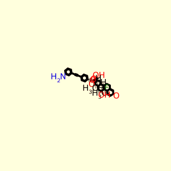 C[C@]12C=CC(=O)C=C1CC[C@H]1[C@@H]3C[C@H]4O[C@@H](c5ccc(C#Cc6cccc(N)c6)cc5)O[C@@]4(C(=O)CO)[C@@]3(C)C[C@H](O)[C@@]12F